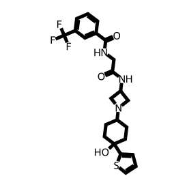 O=C(CNC(=O)c1cccc(C(F)(F)F)c1)NC1CN(C2CCC(O)(c3cccs3)CC2)C1